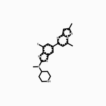 Cc1cc2nc(-c3cc(F)c4nc(N(C)C5CCNCC5)sc4c3)cc(C)n2n1